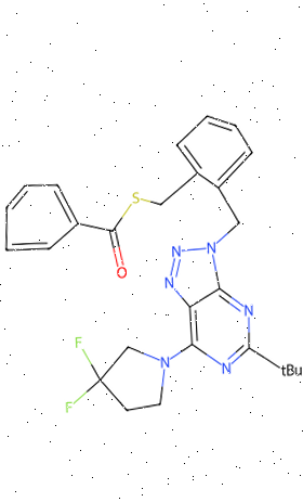 CC(C)(C)c1nc(N2CCC(F)(F)C2)c2nnn(Cc3ccccc3CSC(=O)c3ccccc3)c2n1